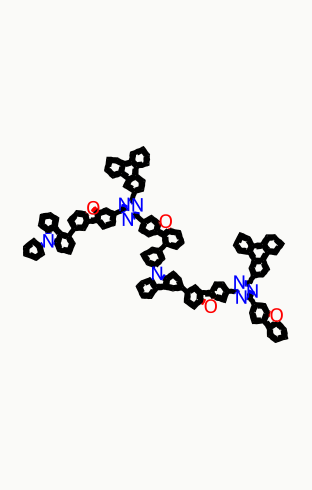 c1ccc(-n2c3ccccc3c3c(-c4ccc5oc6cc(-c7nc(-c8ccc9c(c8)oc8cccc(-c%10cccc(-n%11c%12ccccc%12c%12cc(-c%13ccc%14oc%15cc(-c%16nc(-c%17ccc%18c(c%17)oc%17ccccc%17%18)nc(-c%17ccc%18c%19ccccc%19c%19ccccc%19c%18c%17)n%16)ccc%15c%14c%13)ccc%12%11)c%10)c89)nc(-c8ccc9c%10ccccc%10c%10ccccc%10c9c8)n7)ccc6c5c4)cccc32)cc1